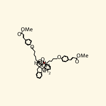 COC(=O)C=Cc1ccc(OCCCCCC(=O)CC(Cc2ccccc2N)(Cc2ccccc2N)C(O)(O)C(=O)CCCCCOc2ccc(C=CC(=O)OC)cc2)cc1